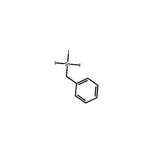 [I][Sn]([I])([I])[CH2]c1ccccc1